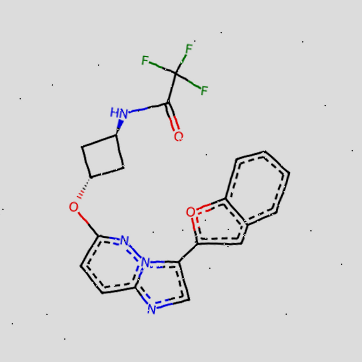 O=C(N[C@H]1C[C@H](Oc2ccc3ncc(-c4cc5ccccc5o4)n3n2)C1)C(F)(F)F